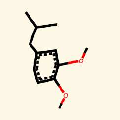 COc1ccc(CC(C)C)cc1OC